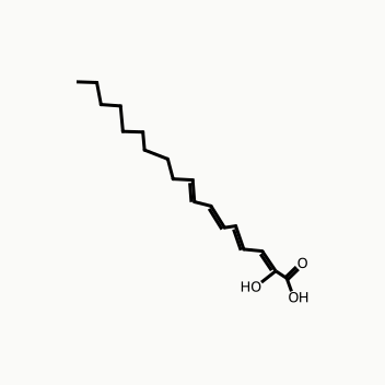 CCCCCCCCCC=CC=CC=CC=C(O)C(=O)O